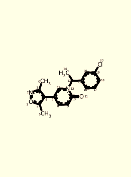 Cc1noc(C)c1-c1ccc(=O)n(C(C)c2cccc(Cl)c2)c1